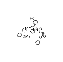 COc1ccccc1C1CCN(CCCC(CNC(=O)CNC(=O)OCc2ccccc2)(c2ccccc2)c2ccccc2)CC1.Cl